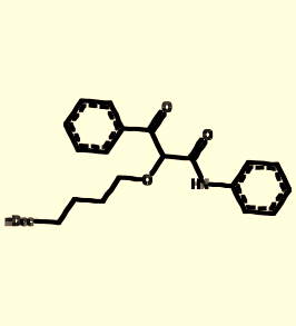 CCCCCCCCCCCCCCOC(C(=O)Nc1ccccc1)C(=O)c1ccccc1